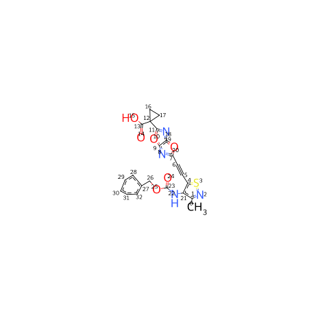 Cc1nsc(C#Cc2nc3oc(C4(C(=O)O)CC4)nc3o2)c1NC(=O)OCc1ccccc1